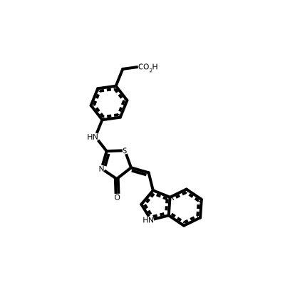 O=C(O)Cc1ccc(NC2=NC(=O)/C(=C\c3c[nH]c4ccccc34)S2)cc1